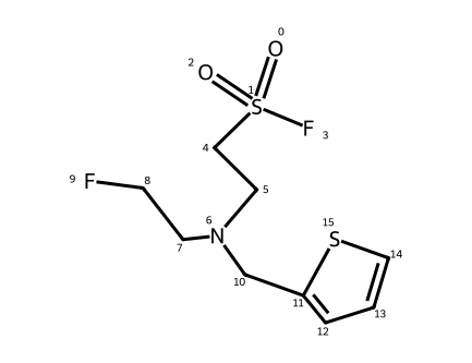 O=S(=O)(F)CCN(CCF)Cc1cccs1